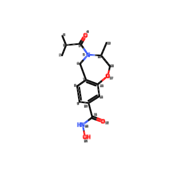 CC(C)C(=O)N1Cc2ccc(C(=O)NO)cc2OCC1C